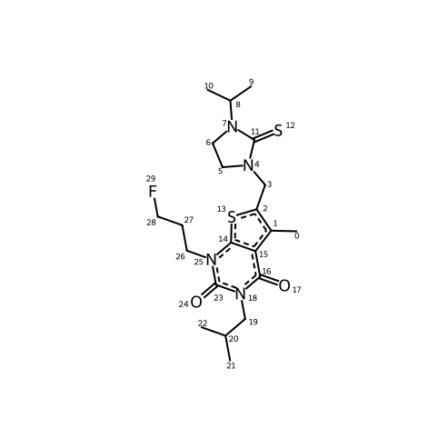 Cc1c(CN2CCN(C(C)C)C2=S)sc2c1c(=O)n(CC(C)C)c(=O)n2CCCF